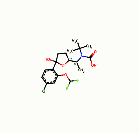 C[C@@H]([C@@H]1CCC(O)(c2ccc(Cl)cc2OC(F)F)O1)N(C(=O)O)C(C)(C)C